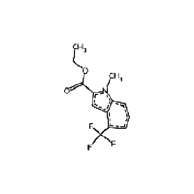 CCOC(=O)c1cc2c(C(F)(F)F)cccc2n1C